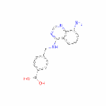 Nc1cccc2c(NCc3ccc(B(O)O)cc3)ncnc12